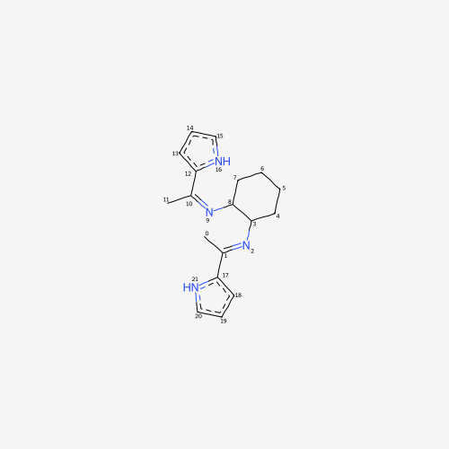 CC(=NC1CCCCC1N=C(C)c1ccc[nH]1)c1ccc[nH]1